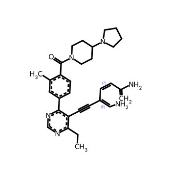 C=C(N)/C=C\C(C#Cc1c(CC)ncnc1-c1ccc(C(=O)N2CCC(N3CCCC3)CC2)c(C)c1)=C/N